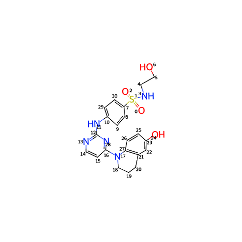 O=S(=O)(NCCO)c1ccc(Nc2nccc(N3CCCc4cc(O)ccc43)n2)cc1